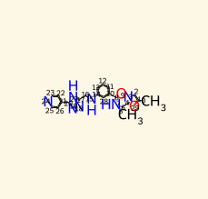 Cc1cnc(C(C)NC(=O)c2cccc(NCc3nnc(-c4ccncc4)[nH]3)c2)o1